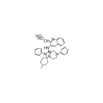 CC1CCC(N2CCN(c3ccccc3)CC2)(N(C(=O)Nc2cnc3ccccc3c2)c2ccccc2)CC1.Cl.Cl.Cl